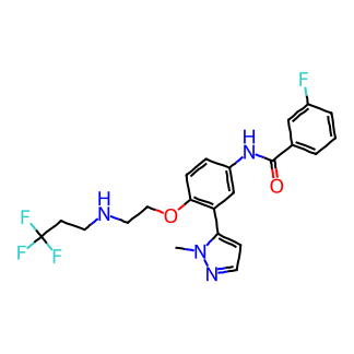 Cn1nccc1-c1cc(NC(=O)c2cccc(F)c2)ccc1OCCNCCC(F)(F)F